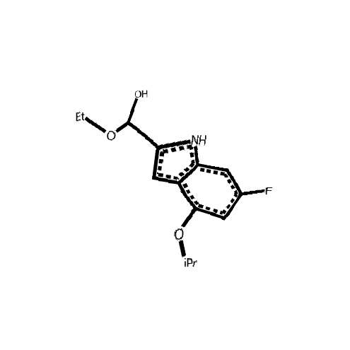 CCOC(O)c1cc2c(OC(C)C)cc(F)cc2[nH]1